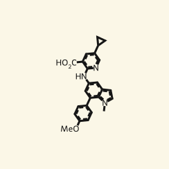 COc1ccc(-c2cc(Nc3ncc(C4CC4)cc3C(=O)O)cc3ccn(C)c23)cc1